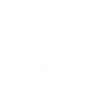 C/C=C\C=C(/C)N1CCN(C(=S)N/N=C2/CCOc3c(C)ccnc32)CC1